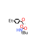 CCc1ccc(C(=O)[C@H](C)OC(=O)NC(C)(C)C)cc1